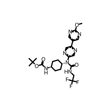 COc1ncc(-c2cnc(N(C(=O)NCC(F)(F)F)[C@H]3CC[C@H](NC(=O)OC(C)(C)C)CC3)cn2)cn1